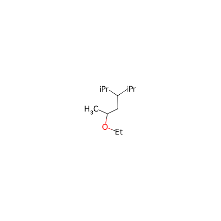 CCOC(C)CC(C(C)C)C(C)C